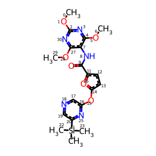 COc1nc(OC)c(NC(=O)c2ccc(Oc3cncc([Si](C)(C)C)n3)o2)c(OC)n1